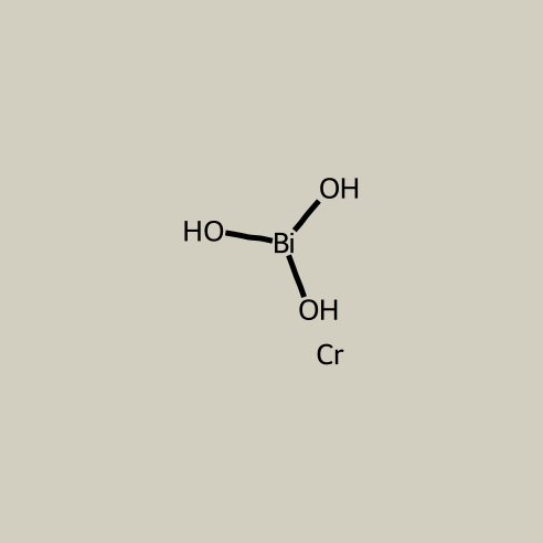 [Cr].[OH][Bi]([OH])[OH]